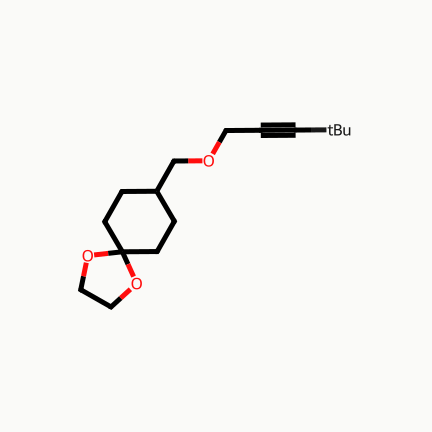 CC(C)(C)C#CCOCC1CCC2(CC1)OCCO2